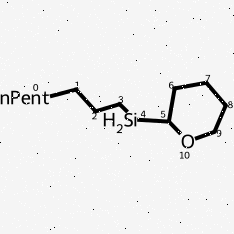 CCCCCCCC[SiH2]C1CCCCO1